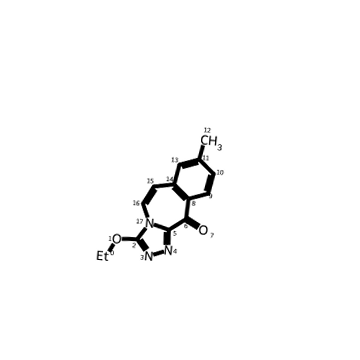 CCOc1nnc2c(=O)c3ccc(C)cc3ccn12